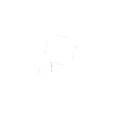 COC1(C)CCCCNCC1